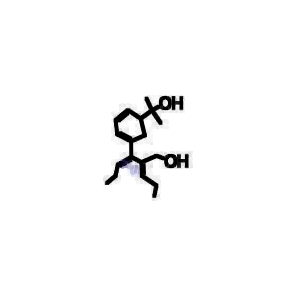 CC/C=C(CO)/C(=C\CC)C1=CC=CC(C(C)(C)O)C1